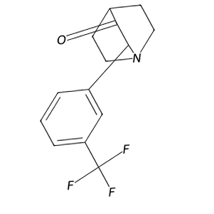 O=C1C2CCN(CC2)C1c1cccc(C(F)(F)F)c1